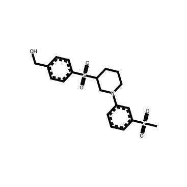 CS(=O)(=O)c1cccc(N2CCCC(S(=O)(=O)c3ccc(CO)cc3)C2)c1